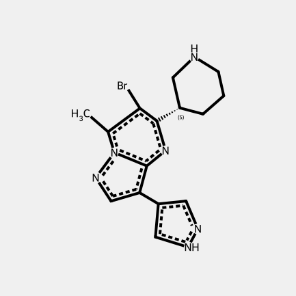 Cc1c(Br)c([C@H]2CCCNC2)nc2c(-c3cn[nH]c3)cnn12